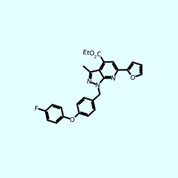 CCOC(=O)c1cc(-c2ccco2)nc2c1c(C)nn2Cc1ccc(Oc2ccc(F)cc2)cc1